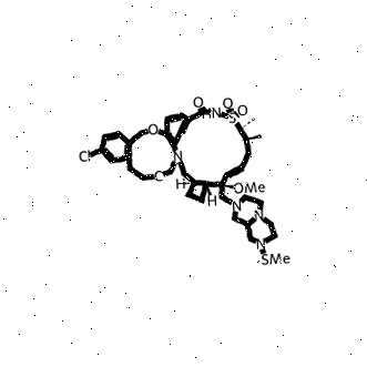 CO[C@]1(CN2CCN3CCN(SC)CC3C2)/C=C/C[C@H](C)[C@@H](C)S(=O)(=O)NC(=O)c2ccc3c(c2)N(CCCCc2cc(Cl)ccc2CO3)C[C@@H]2CC[C@H]21